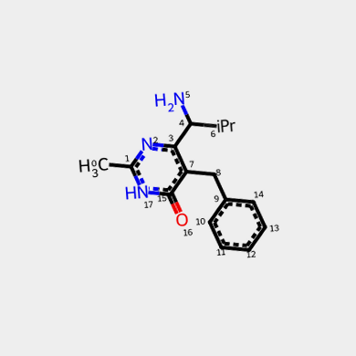 Cc1nc(C(N)C(C)C)c(Cc2ccccc2)c(=O)[nH]1